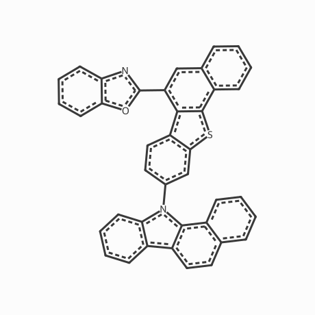 c1ccc2c(c1)cc(-c1nc3ccccc3o1)c1c3ccc(-n4c5ccccc5c5ccc6ccccc6c54)cc3sc21